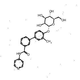 Cc1cc(-c2cccc(C(=O)Nc3ccncc3)c2)ccc1O[C@H]1O[C@H](CO)[C@@H](O)[C@H](O)[C@@H]1O